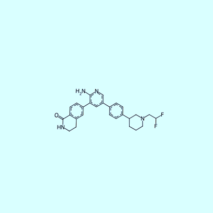 Nc1ncc(-c2ccc(C3CCCN(CC(F)F)C3)cc2)cc1-c1ccc2c(c1)CCNC2=O